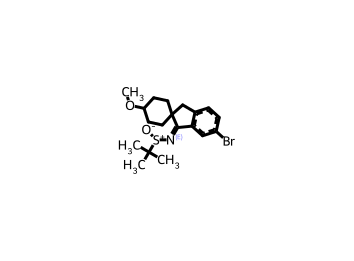 COC1CCC2(CC1)Cc1ccc(Br)cc1/C2=N/[S+]([O-])C(C)(C)C